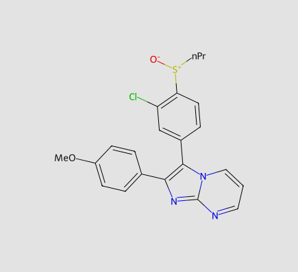 CCC[S+]([O-])c1ccc(-c2c(-c3ccc(OC)cc3)nc3ncccn23)cc1Cl